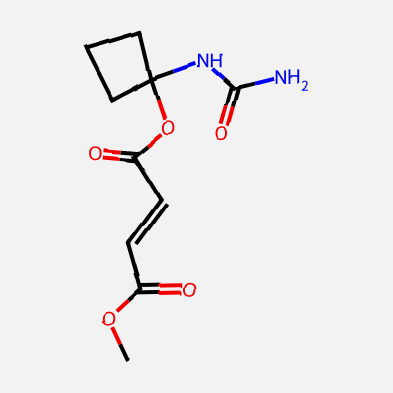 COC(=O)/C=C/C(=O)OC1(NC(N)=O)CCC1